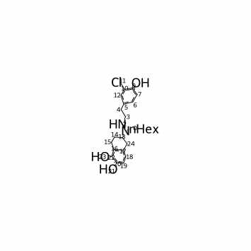 CCCCCCN(NCCc1ccc(O)c(Cl)c1)C1CCc2c(ccc(O)c2O)C1